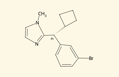 Cn1ccnc1[C@@H](c1cccc(Br)c1)C1CCC1